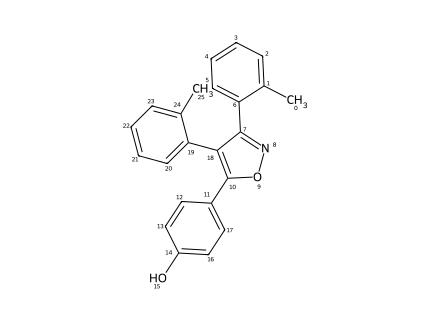 Cc1ccccc1-c1noc(-c2ccc(O)cc2)c1-c1ccccc1C